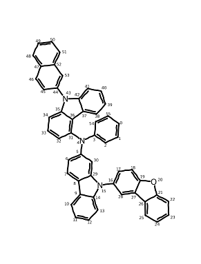 c1ccc(N(c2ccc3c4ccccc4n(-c4ccc5oc6ccccc6c5c4)c3c2)c2cccc3c2c2ccccc2n3-c2ccc3ccccc3c2)cc1